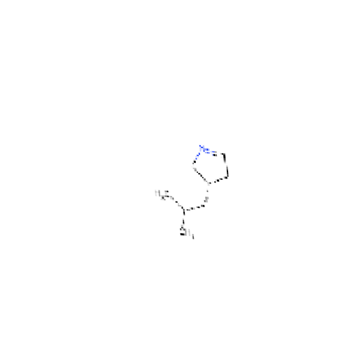 CC(C)C[C@H]1CC=NC1